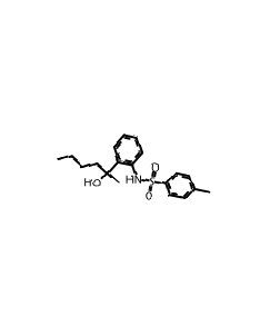 CCCCC(C)(O)c1ccccc1NS(=O)(=O)c1ccc(C)cc1